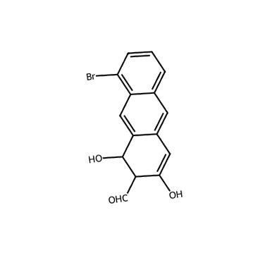 O=CC1C(O)=Cc2cc3cccc(Br)c3cc2C1O